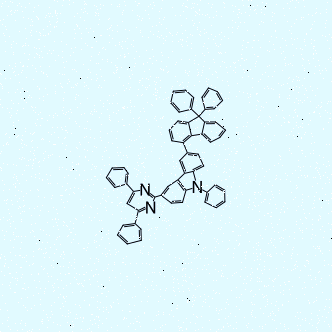 c1ccc(-c2cc(-c3ccccc3)nc(-c3ccc4c(c3)c3cc(-c5cccc6c5-c5ccccc5C6(c5ccccc5)c5ccccc5)ccc3n4-c3ccccc3)n2)cc1